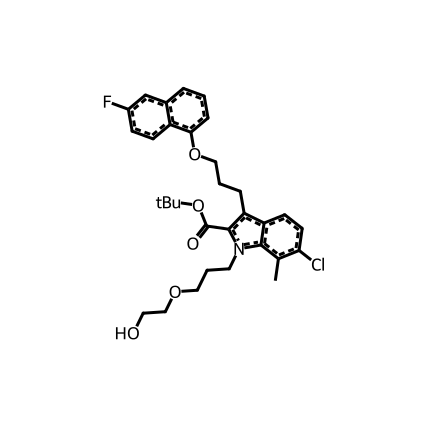 Cc1c(Cl)ccc2c(CCCOc3cccc4cc(F)ccc34)c(C(=O)OC(C)(C)C)n(CCCOCCO)c12